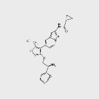 Cc1onc(OC[C@@H](N)c2ccccn2)c1-c1ccn2nc(NC(=O)C3CC3)cc2c1.Cl